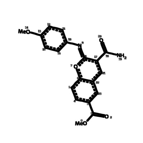 COC(=O)c1ccc2o/c(=N\c3ccc(OC)cc3)c(C(N)=O)cc2c1